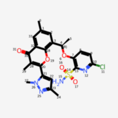 Cc1cc([C@@H](C)Oc2ccc(Cl)nc2S(N)(=O)=O)c2oc(-c3cc(C)nn3C)c(C)c(=O)c2c1